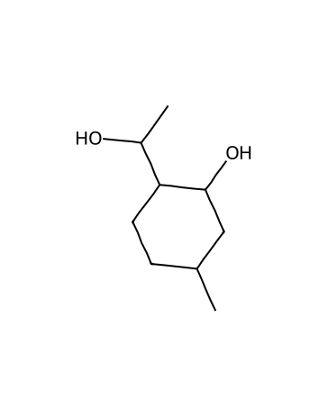 CC1CCC(C(C)O)C(O)C1